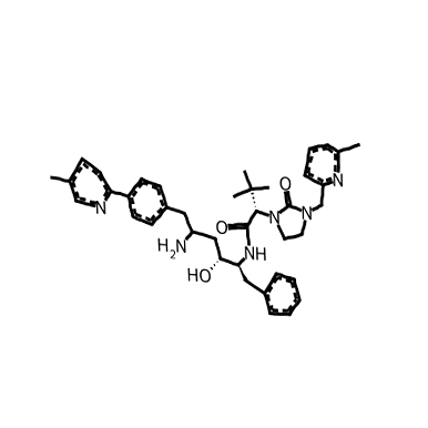 Cc1ccc(-c2ccc(CC(N)C[C@@H](O)[C@H](Cc3ccccc3)NC(=O)[C@@H](N3CCN(Cc4cccc(C)n4)C3=O)C(C)(C)C)cc2)nc1